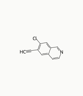 C#Cc1cc2ccncc2cc1Cl